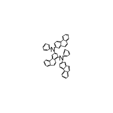 c1ccc(N(c2ccc3c(ccc4ccccc43)c2)c2cc(N(c3ccccc3)c3ccc4c(ccc5ccccc54)c3)c3ccc4ccccc4c3c2)cc1